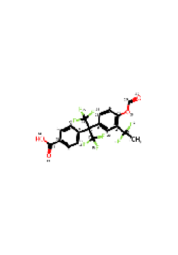 CC(F)(F)c1cc(C(c2ccc(C(=O)O)cc2)(C(F)(F)F)C(F)(F)F)ccc1OC=O